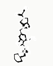 C#CC(=O)N1Cc2cnn(Cc3cc(OC)c4c(NS(=O)(=O)CC5CCCCC5)noc4c3)c2C1